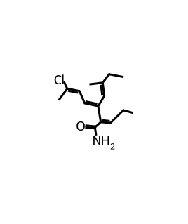 CC/C=C(/C(N)=O)C(=C/C=C(\C)Cl)/C=C(\C)CC